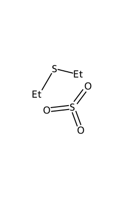 CCSCC.O=S(=O)=O